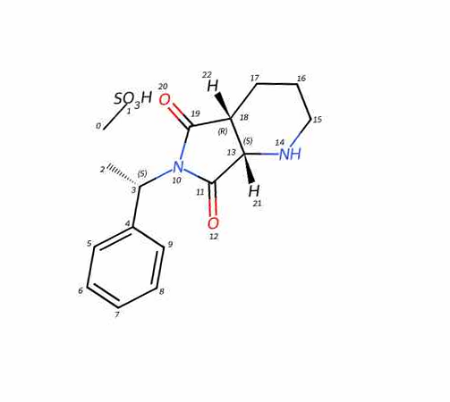 CS(=O)(=O)O.C[C@@H](c1ccccc1)N1C(=O)[C@H]2NCCC[C@H]2C1=O